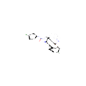 CN(C)C(=S)C1(C)CN(C(=O)Nc2ccc(Cl)cc2)N=C1c1ccc(Cl)cc1